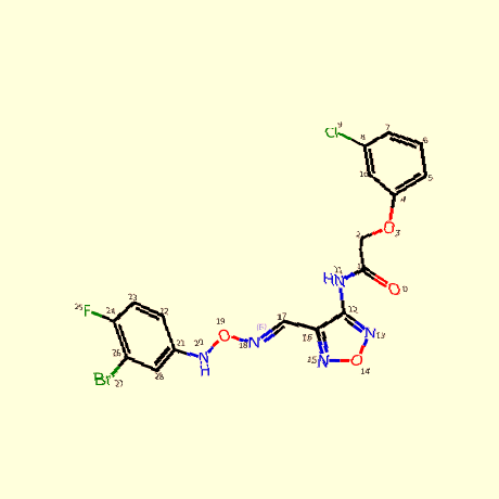 O=C(COc1cccc(Cl)c1)Nc1nonc1/C=N/ONc1ccc(F)c(Br)c1